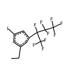 CCc1[c]c(I)cc(C(F)(C(F)(F)F)C(F)(F)C(F)(F)F)c1